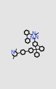 Cc1cnc(C)c(-c2ccc(-c3ccc(C4(c5ccccc5)c5ccccc5-c5cc(-c6nc(C)nc(-c7ccccc7-c7ccccc7)n6)ccc54)cc3)cc2)c1